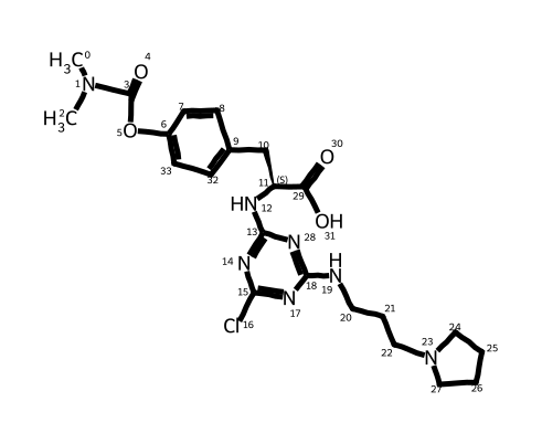 CN(C)C(=O)Oc1ccc(C[C@H](Nc2nc(Cl)nc(NCCCN3CCCC3)n2)C(=O)O)cc1